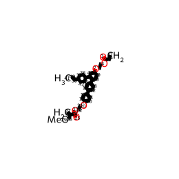 C=CC(=O)OCCOc1ccc(-c2ccc(-c3ccc(OCCOC(=O)C(=C)COC)cc3)cc2)c(C2CCC(/C=C/C)CC2)c1